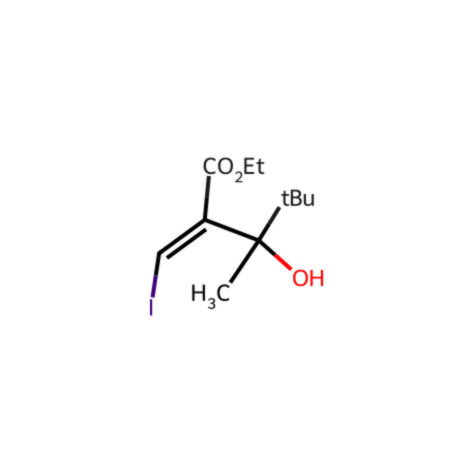 CCOC(=O)C(=CI)C(C)(O)C(C)(C)C